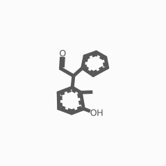 Cc1c(O)cccc1C(C=O)c1ccccc1